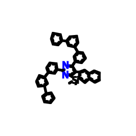 C[Si]1(C)c2cc3ccccc3cc2-c2c(-c3cccc(-c4cccc(-c5ccccc5)c4)c3)nc(-c3cccc(-c4cccc(-c5ccccc5)c4)c3)nc21